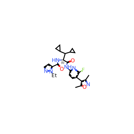 CCn1nccc1C(=O)N[C@H](C(=O)Nc1ccc(-c2c(C)noc2C)c(F)n1)C(C1CC1)C1CC1